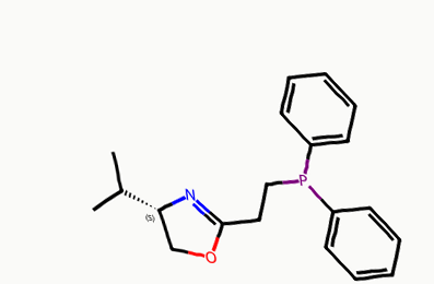 CC(C)[C@H]1COC(CCP(c2ccccc2)c2ccccc2)=N1